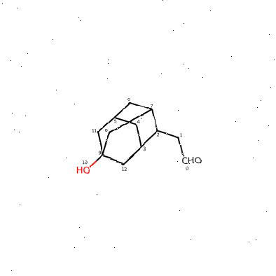 O=CCC1C2CC3CC1CC(O)(C3)C2